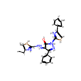 CCc1nc(NN=C2C(=O)N(c3nc(-c4ccccc4)cs3)N=C2c2ccccc2)sc1C